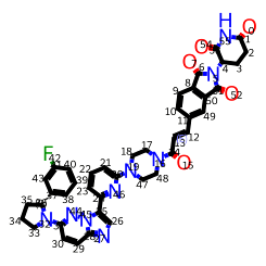 O=C1CCC(N2C(=O)c3ccc(/C=C/C(=O)N4CCN(c5cccc(-c6cnc7ccc(N8CCC[C@@H]8c8cccc(F)c8)nn67)n5)CC4)cc3C2=O)C(=O)N1